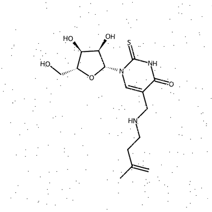 C=C(C)CCNCc1cn([C@@H]2O[C@H](CO)[C@@H](O)[C@H]2O)c(=S)[nH]c1=O